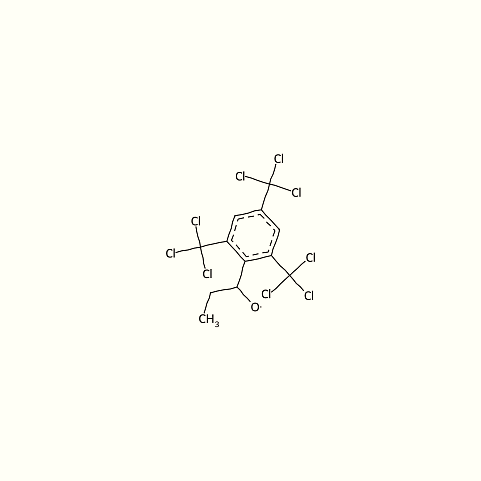 CCC([O])c1c(C(Cl)(Cl)Cl)cc(C(Cl)(Cl)Cl)cc1C(Cl)(Cl)Cl